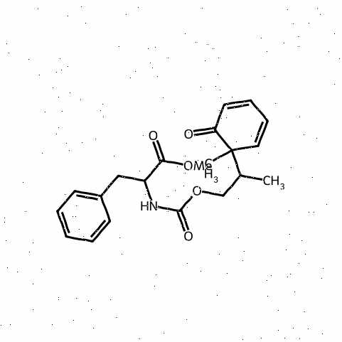 COC(=O)C(Cc1ccccc1)NC(=O)OCC(C)C1(C)C=CC=CC1=O